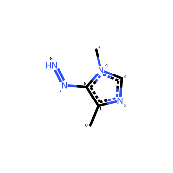 Cc1ncn(C)c1N=N